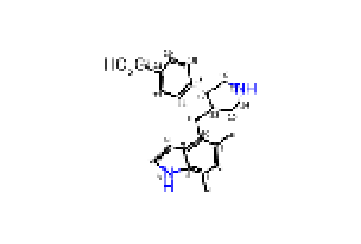 Cc1cc(C)c2[nH]ccc2c1C[C@@H]1CCNC[C@H]1c1ccc(C(=O)O)cc1